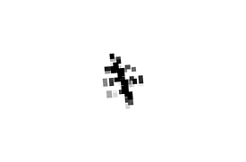 COC(=O)C(O)C(O)C(O)C(O)C=O